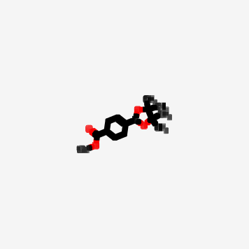 CC(C)(C)OC(=O)C1CC=C(B2OC(C)(C)C(C)(C)O2)CC1